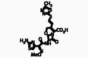 CON=C(C(=O)NC1C(=O)N2C(C(=O)O)=C(C=CSc3nnc(C)s3)COC12)c1csc(N)n1